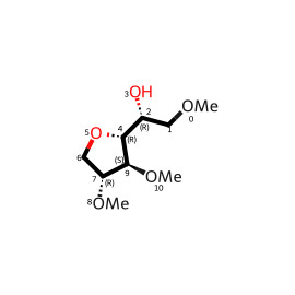 COC[C@@H](O)[C@H]1OC[C@@H](OC)[C@@H]1OC